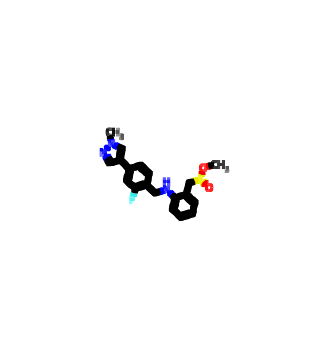 COS(=O)Cc1ccccc1NCc1ccc(-c2cnn(C)c2)cc1F